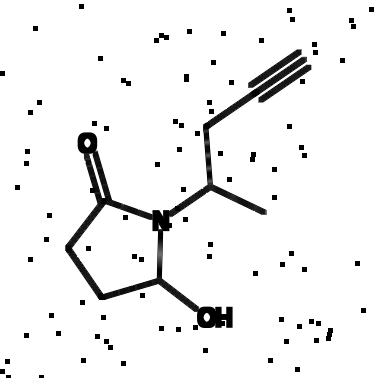 C#CCC(C)N1C(=O)CCC1O